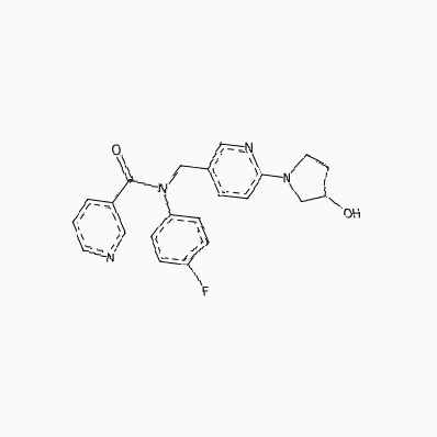 O=C(c1cccnc1)N(Cc1ccc(N2CCC(O)C2)nc1)c1ccc(F)cc1